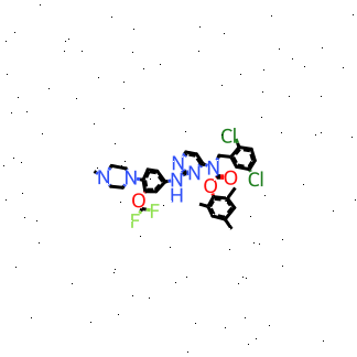 Cc1cc(C)c(OC(=O)N(Cc2cc(Cl)ccc2Cl)c2ccnc(Nc3ccc(N4CCN(C)CC4)c(OC(F)F)c3)n2)c(C)c1